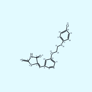 O=C1NC(=S)SC1=Cc1cccc(OCCSc2ccc(Cl)cc2)c1